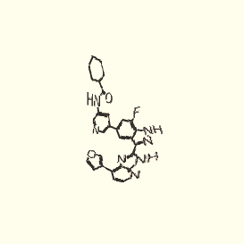 O=C(Nc1cncc(-c2cc(F)c3[nH]nc(-c4nc5c(-c6ccoc6)ccnc5[nH]4)c3c2)c1)C1CCCCC1